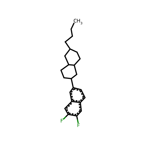 CCCCC1CCC2CC(c3ccc4cc(F)c(F)cc4c3)CCC2C1